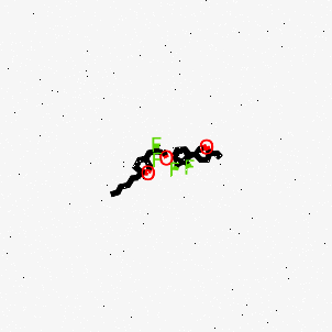 C=CC1CCC(c2ccc(OCC(F)(F)CC3CCC(CCCCCC)OC3)c(F)c2F)CO1